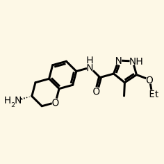 CCOc1[nH]nc(C(=O)Nc2ccc3c(c2)OC[C@H](N)C3)c1C